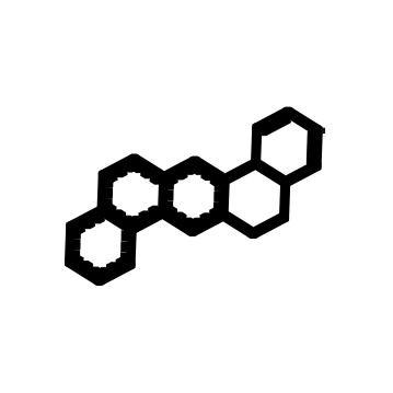 [C]1=CC2CCc3cc4c(ccc5ccccc54)cc3C2C=C1